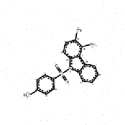 Cc1ccc(S(=O)(=O)n2c3ccccc3c3c(N)c(C#N)ccc32)cc1